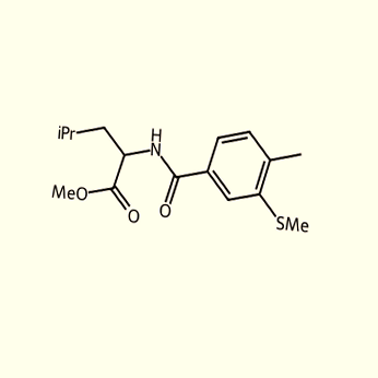 COC(=O)C(CC(C)C)NC(=O)c1ccc(C)c(SC)c1